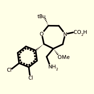 CO[C@@]1(CN)CN(C(=O)O)C[C@@H](C(C)(C)C)O[C@H]1c1ccc(Cl)c(Cl)c1